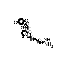 COc1ccc(OC)c(S(=O)(=O)Nc2ccc(C)n(CC(=O)NCCONC(=N)N)c2=O)c1